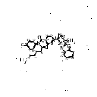 CCCCCc1nc2cc(C3=NOC(C)(c4nc5ccccc5o4)C3)ccc2c(=O)n1-c1ccc(F)cc1